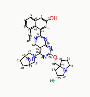 C#Cc1cccc2cc(O)cc(-c3ncc4c(N5CC6CCC(C5)N6)nc(OCC56CCCN5C[C@H](F)C6)nc4n3)c12